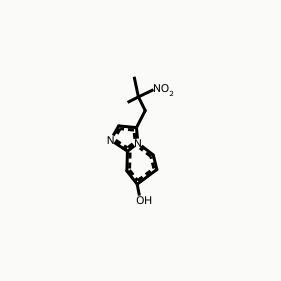 CC(C)(Cc1cnc2cc(O)ccn12)[N+](=O)[O-]